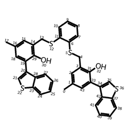 Cc1cc(CSc2ccccc2SCc2cc(C)cc(-c3csc4ccccc34)c2O)c(O)c(-c2csc3ccccc23)c1